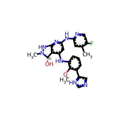 COc1c(Nc2cc(Nc3cc(C)c(F)cn3)nc3c2[C@H](O)N(C)N3)cccc1-c1cnc[nH]1